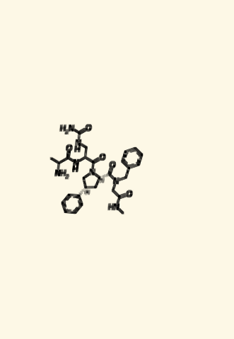 CNC(=O)CN(Cc1ccccc1)C(=O)[C@@H]1C[C@H](c2ccccc2)CN1C(=O)C(CNC(N)=O)NC(=O)C(C)N